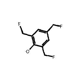 [O]c1c(CF)cc(CF)cc1CF